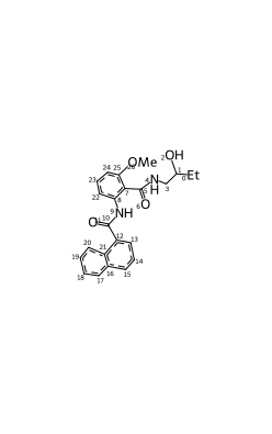 CCC(O)CNC(=O)c1c(NC(=O)c2cccc3ccccc23)cccc1OC